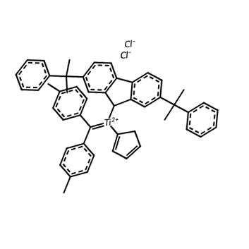 Cc1ccc([C](c2ccc(C)cc2)=[Ti+2]([C]2=CC=CC2)[CH]2c3cc(C(C)(C)c4ccccc4)ccc3-c3ccc(C(C)(C)c4ccccc4)cc32)cc1.[Cl-].[Cl-]